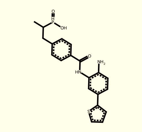 CC(Cc1ccc(C(=O)Nc2cc(-c3cccs3)ccc2N)cc1)[PH](=O)O